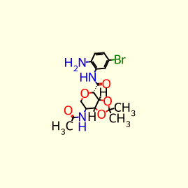 CC(=O)N[C@H]1CO[C@H](C(=O)Nc2cc(Br)ccc2N)[C@@H]2OC(C)(C)O[C@@H]21